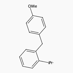 COc1ccc(Cc2ccccc2[C](C)C)cc1